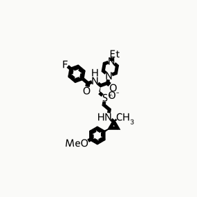 CCN1CCN(C(=O)[C@H](C[S+]([O-])CCN[C@]2(C)C[C@H]2c2ccc(OC)cc2)NC(=O)c2ccc(F)cc2)CC1